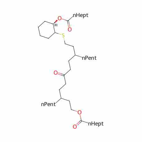 CCCCCCCC(=O)OCCC(CCCCC)CCC(=O)CCC(CCCCC)CCSC1CCCC[C@H]1OC(=O)CCCCCCC